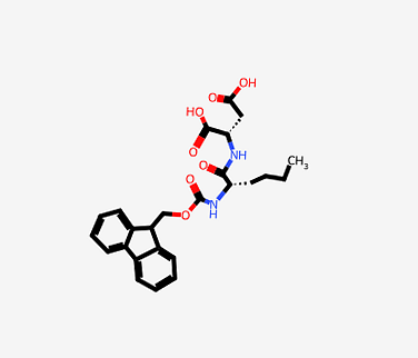 CCCC[C@H](NC(=O)OCC1c2ccccc2-c2ccccc21)C(=O)N[C@@H](CC(=O)O)C(=O)O